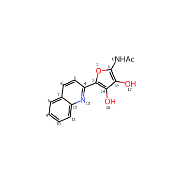 CC(=O)Nc1oc(-c2ccc3ccccc3n2)c(O)c1O